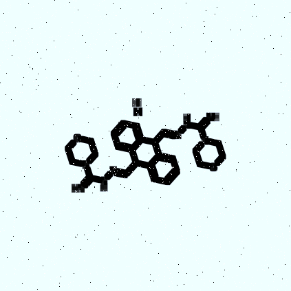 I.I.N=C(NN=CC1c2ccccc2C(C=NNC(=N)N2CCOCC2)c2ccccc21)N1CCOCC1